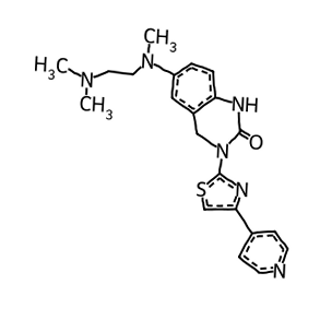 CN(C)CCN(C)c1ccc2c(c1)CN(c1nc(-c3ccncc3)cs1)C(=O)N2